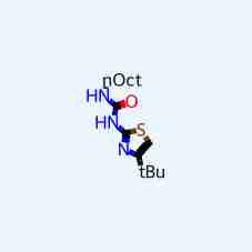 CCCCCCCCNC(=O)Nc1nc(C(C)(C)C)cs1